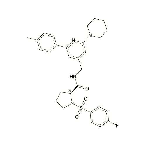 Cc1ccc(-c2cc(CNC(=O)[C@@H]3CCCN3S(=O)(=O)c3ccc(F)cc3)cc(N3CCCCC3)n2)cc1